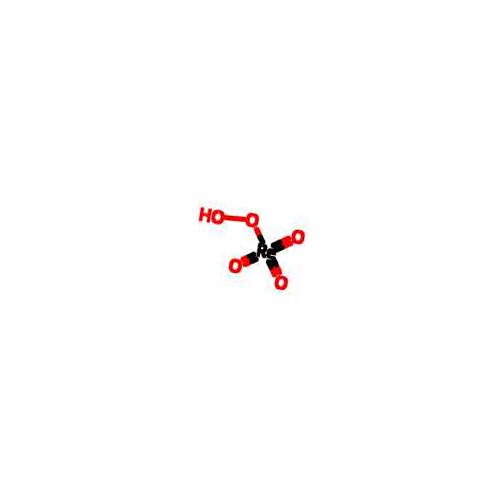 [O]=[Re](=[O])(=[O])[O]O